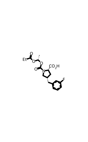 CCC(=O)O[C@H](C)OC(=O)N1C[C@@H](Cc2cccc(F)c2)C[C@H]1C(=O)O